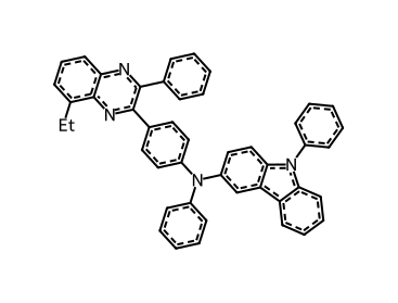 CCc1cccc2nc(-c3ccccc3)c(-c3ccc(N(c4ccccc4)c4ccc5c(c4)c4ccccc4n5-c4ccccc4)cc3)nc12